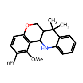 CCCc1ccc2c(c1OC)C1Nc3ccccc3C(C)(C)C1CO2